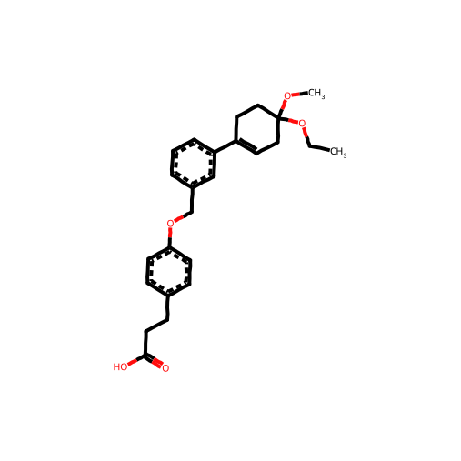 CCOC1(OC)CC=C(c2cccc(COc3ccc(CCC(=O)O)cc3)c2)CC1